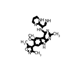 COc1cc2c(cc1-c1c(C)noc1C)[nH]c1nc(C)nc(N/C(C=N)=C3\N=CC=CN3)c12